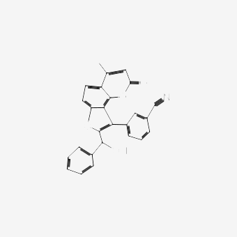 Cc1cc(=O)oc2c1ccc1oc(C(O)c3ccccc3)c(-c3cccc(C#N)c3)c12